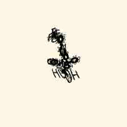 O=C(C1Cc2c(ccc3nc(-c4cccc(OC(F)(F)F)c4)ccc23)-c2c(C3CCCCC3)c3ccc(C(O)O)cc3n21)N1CCOCC1